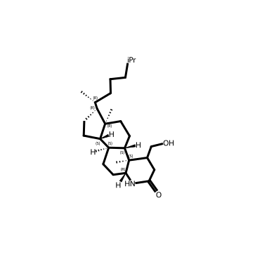 CC(C)CCC[C@@H](C)[C@H]1CC[C@H]2[C@@H]3CC[C@H]4NC(=O)CC(CO)[C@]4(C)[C@H]3CC[C@]12C